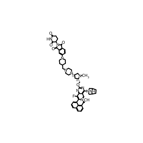 C#Cc1cccc2cccc(-c3ncc4c(N5CC6CCC(C5)N6)nc(OC[C@@H]5C[C@H](N6CCN(CC7CCN(c8ccc9c(c8)C(=O)N(C8CCC(=O)NC8=O)C9=O)CC7)CC6)CN5C)nc4c3F)c12